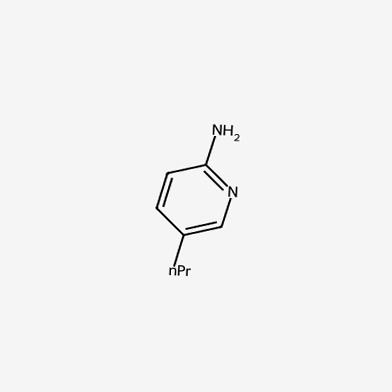 CCCc1ccc(N)nc1